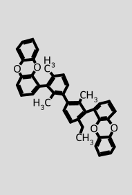 CCc1ccc(-c2ccc(C)c(-c3cccc4c3Oc3ccccc3O4)c2C)c(C)c1-c1cccc2c1Oc1ccccc1O2